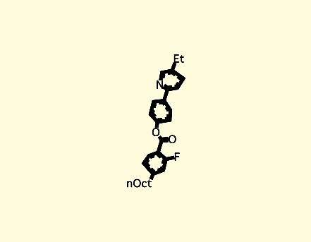 CCCCCCCCc1ccc(C(=O)Oc2ccc(-c3ccc(CC)cn3)cc2)c(F)c1